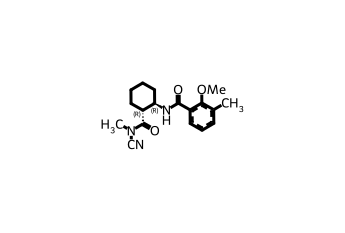 COc1c(C)cccc1C(=O)N[C@@H]1CCCC[C@H]1C(=O)N(C)C#N